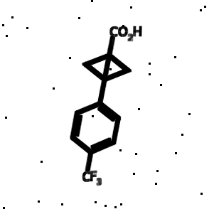 O=C(O)C12CC1(c1ccc(C(F)(F)F)cc1)C2